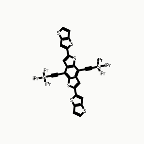 CC(C)[Si](C#Cc1c2cc(-c3cc4sccc4s3)sc2c(C#C[Si](C(C)C)(C(C)C)C(C)C)c2cc(-c3cc4sccc4s3)sc12)(C(C)C)C(C)C